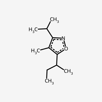 CCC(C)c1onc(C(C)C)c1C